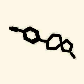 CN1CCC2(CCN(c3ccc(C#N)cc3)CC2)C1